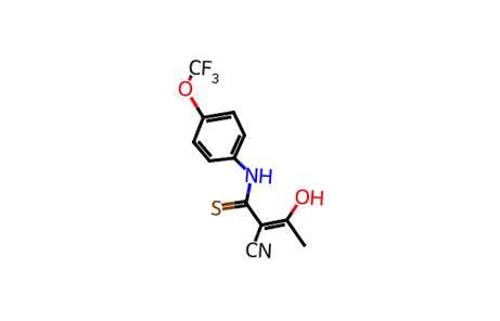 CC(O)=C(C#N)C(=S)Nc1ccc(OC(F)(F)F)cc1